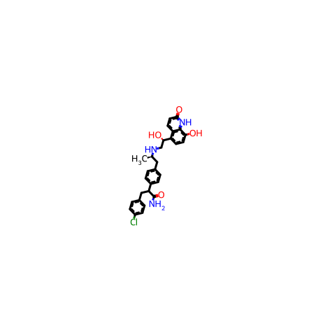 C[C@H](Cc1ccc(C(Cc2ccc(Cl)cc2)C(N)=O)cc1)NC[C@@H](O)c1ccc(O)c2[nH]c(=O)ccc12